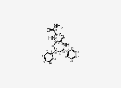 C[C@H](N[C@H]1C[C@H](c2ccccc2)C[C@@H](c2ccccc2)NC1=O)C(N)=O